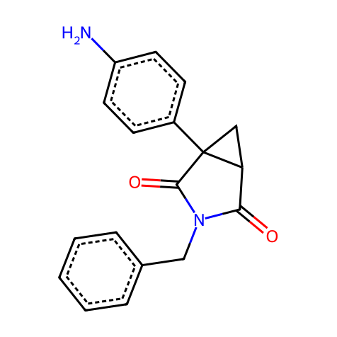 Nc1ccc(C23CC2C(=O)N(Cc2ccccc2)C3=O)cc1